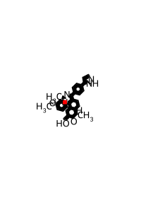 COc1ccc([C@]23CC(=CO)C(=O)[C@@H](C)[C@@H]2CCc2c(-c4ccc(-c5ccn[nH]5)cc4)nc(C)nc23)cc1